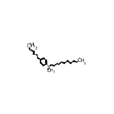 CCCCCCCCCCCN(C)c1ccc(CCCCCC)cc1